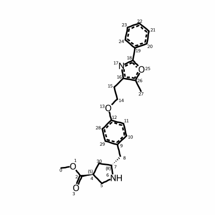 COC(=O)[C@@H]1CN[C@@H](Cc2ccc(OCCc3nc(-c4ccccc4)oc3C)cc2)C1